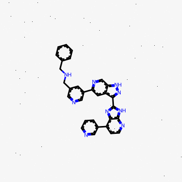 c1ccc(CNCc2cncc(-c3cc4c(-c5nc6c(-c7cccnc7)ccnc6[nH]5)n[nH]c4cn3)c2)cc1